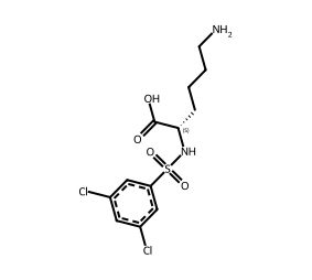 NCCCC[C@H](NS(=O)(=O)c1cc(Cl)cc(Cl)c1)C(=O)O